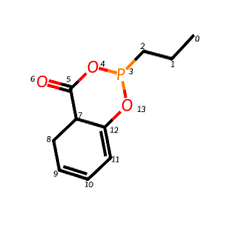 CCCP1OC(=O)C2CC=CC=C2O1